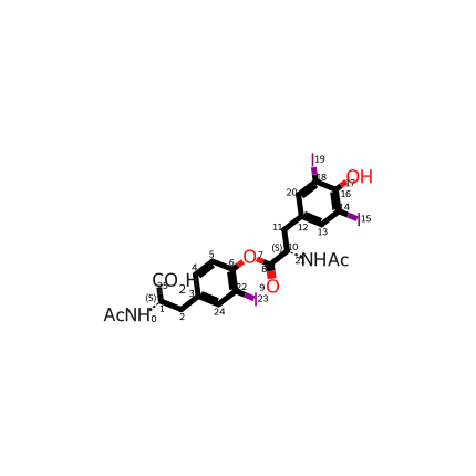 CC(=O)N[C@@H](Cc1ccc(OC(=O)[C@H](Cc2cc(I)c(O)c(I)c2)NC(C)=O)c(I)c1)C(=O)O